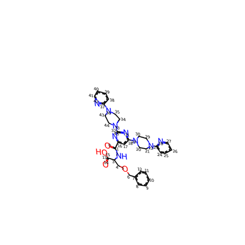 O=C(NC(COCc1ccccc1)C(=O)O)c1cc(N2CCN(c3ccccn3)CC2)nc(N2CCN(c3ccccn3)CC2)n1